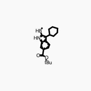 CBc1[nH]c2cc(C(=O)OC(C)(C)C)ccc2c1C1CCCCC1